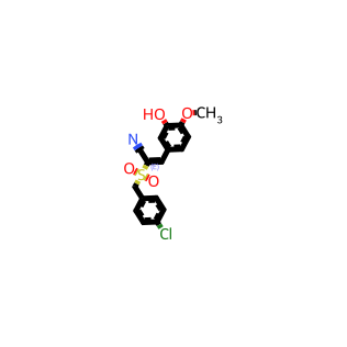 COc1ccc(/C=C(\C#N)S(=O)(=O)Cc2ccc(Cl)cc2)cc1O